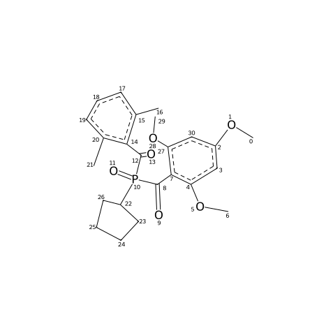 COc1cc(OC)c(C(=O)P(=O)(C(=O)c2c(C)cccc2C)C2CCCC2)c(OC)c1